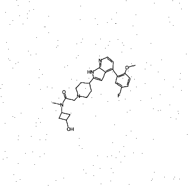 COc1ccc(F)cc1-c1ccnc2[nH]c(C3CCN(CC(=O)N(C)C4CC(O)C4)CC3)cc12